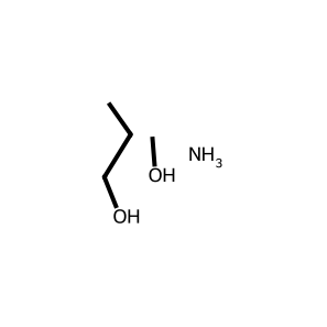 CCCO.CO.N